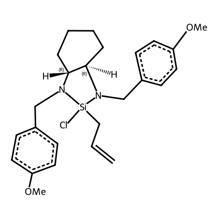 C=CC[Si]1(Cl)N(Cc2ccc(OC)cc2)[C@@H]2CCCC[C@H]2N1Cc1ccc(OC)cc1